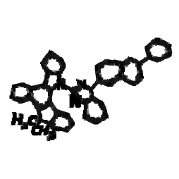 CC1(C)c2ccccc2-c2c1c1ccccc1c1c3ccccc3n(-c3nc(-c4ccc5cc(-c6ccccc6)ccc5c4)c4ccccc4n3)c21